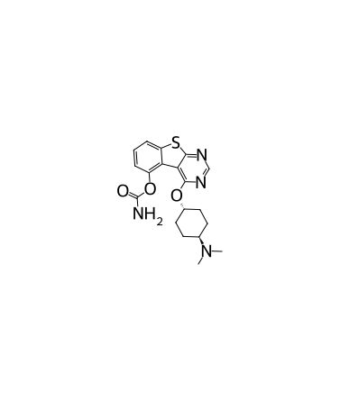 CN(C)[C@H]1CC[C@H](Oc2ncnc3sc4cccc(OC(N)=O)c4c23)CC1